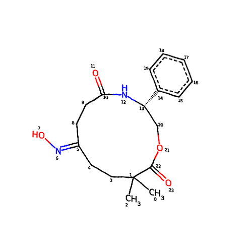 CC1(C)CCC(=NO)CCC(=O)N[C@H](c2ccccc2)COC1=O